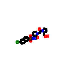 O=C1[C@@H](NS(=O)(=O)c2ccc3cc(Cl)ccc3c2)CCCN1CC(=O)N1CCC[C@H]1CO